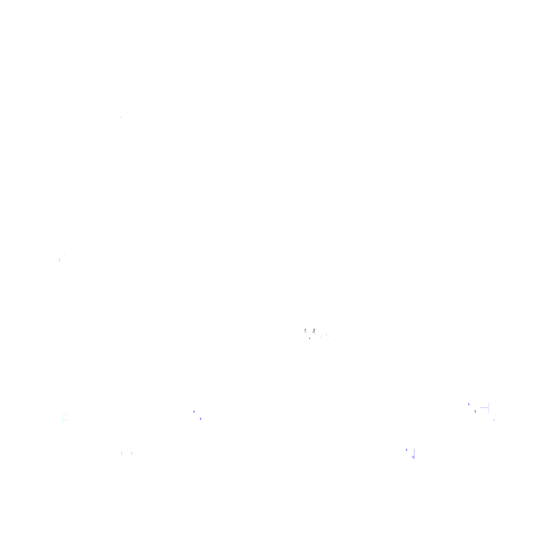 COc1cc(N)ncc1C1CCN(C(=O)c2ccc(OCCC3CC3)cc2F)CC1